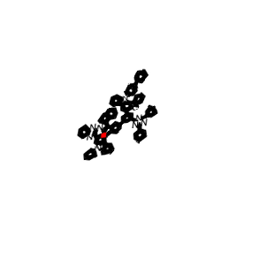 c1ccc(-c2ccc(-n3c4ccccc4c4cc(-c5cc(-c6ccc7ccc8c(c7c6)c6c7ccccc7ccc6n8-c6nc7ccccc7nc6-c6ccc7c8ccccc8n(-c8ccccc8)c7c6)cc(-c6nc(-c7ccccc7)nc(-c7ccccc7)n6)c5)c5oc6ccccc6c5c43)cc2)cc1